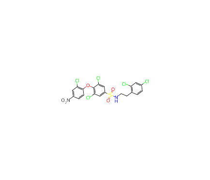 O=[N+]([O-])c1ccc(Oc2c(Cl)cc(S(=O)(=O)NCCc3ccc(Cl)cc3Cl)cc2Cl)c(Cl)c1